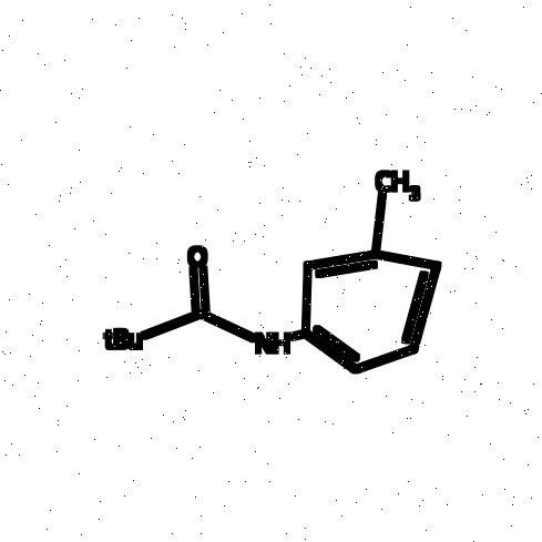 Cc1cccc(NC(=O)C(C)(C)C)c1